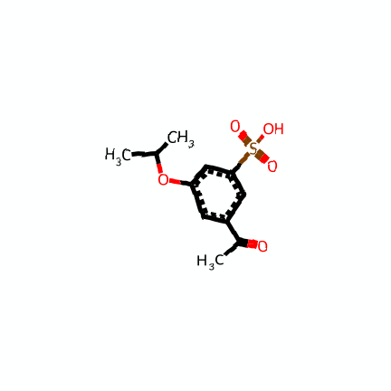 CC(=O)c1cc(OC(C)C)cc(S(=O)(=O)O)c1